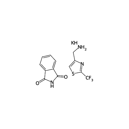 NCc1csc(C(F)(F)F)n1.O=C1NC(=O)c2ccccc21.[KH]